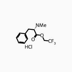 CN[C@@H](Cc1ccccc1)C(=O)OCC(F)(F)F.Cl